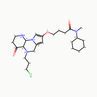 CN(C(=O)CCCOc1cc2n(c1)C1NCCC(=O)C1N(CCCCl)C2)C1CCCCC1